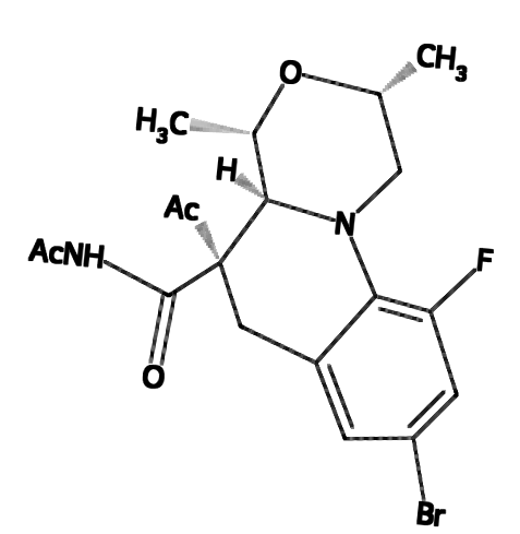 CC(=O)NC(=O)[C@]1(C(C)=O)Cc2cc(Br)cc(F)c2N2C[C@@H](C)O[C@@H](C)[C@@H]21